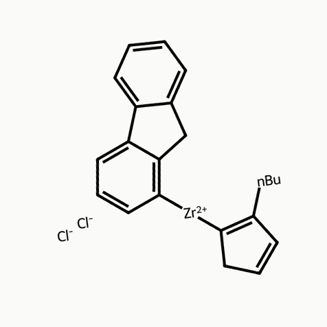 CCCCC1=[C]([Zr+2][c]2cccc3c2Cc2ccccc2-3)CC=C1.[Cl-].[Cl-]